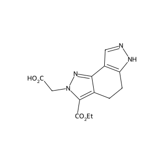 CCOC(=O)c1c2c(nn1CC(=O)O)-c1cn[nH]c1CC2